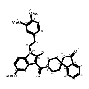 COc1ccc2c(c1)c(C(=O)N1CCC3(CC1)OC(=O)c1ccccc13)c(C)n2CCc1ccc(OC)c(OC)c1